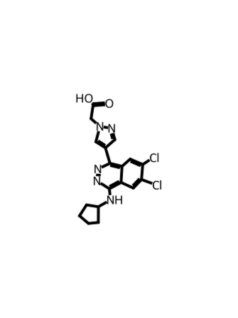 O=C(O)Cn1cc(-c2nnc(NC3CCCC3)c3cc(Cl)c(Cl)cc23)cn1